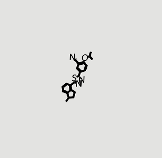 CC(C)Oc1ccc(-c2nnc(-c3cccc4c3CCC4C)s2)cc1C#N